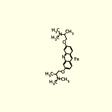 CC(COc1ccc2cc3ccc(OCC(C)N(C)C)cc3nc2c1)N(C)C.[Fe]